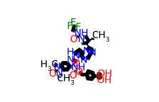 CC[C@@H]1CN(C(=O)NCC(F)(F)F)C[C@@H]1c1cnc2cnc3c(ccn3C(=O)Nc3cc4c(cc3NC(=O)OCc3ccc(B(O)O)cc3)n(C)c(=O)n4C)n12